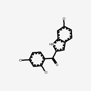 O=C(c1cc2ccc(Cl)cc2[nH]1)c1ccc(Cl)cc1Cl